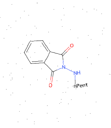 CCCCCNN1C(=O)c2ccccc2C1=O